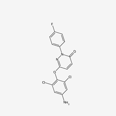 Nc1cc(Cl)c(Oc2ccc(=O)n(-c3ccc(F)cc3)n2)c(Cl)c1